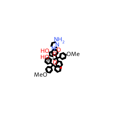 CCCC(OC(c1ccccc1)(c1ccccc1)c1ccc(OC)cc1)([C@H]1O[C@@H](n2ccc(N)nc2=O)[C@H](O)[C@@H]1O)C(c1ccccc1)(c1ccccc1)c1ccc(OC)cc1